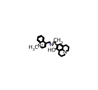 CN(/N=C/c1cc[n+](C)c2ccccc12)c1cc2c3c(c1O)CCCN3CCC2